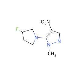 Cn1ncc([N+](=O)[O-])c1N1CCC(F)C1